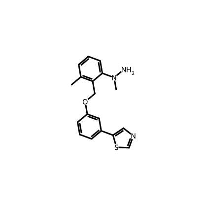 Cc1cccc(N(C)N)c1COc1cccc(-c2cncs2)c1